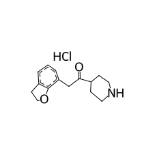 Cl.O=C(Cc1cccc2c1OCC2)C1CCNCC1